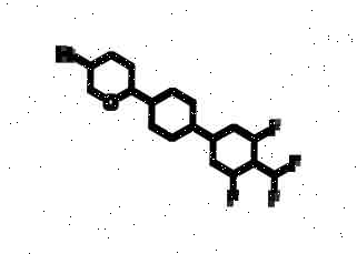 CCC1CCC(C2CCC(C3CC(F)C(C(F)F)C(F)C3)CC2)OC1